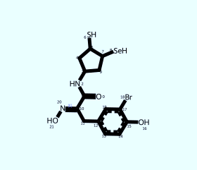 O=C(NC1CC(S)C([SeH])C1)/C(Cc1ccc(O)c(Br)c1)=N/O